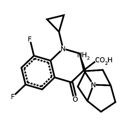 NC1CC2CCC(C1)N2C1(C(=O)O)CN(C2CC2)c2c(F)cc(F)cc2C1=O